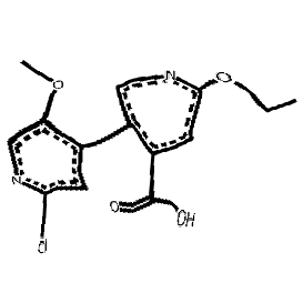 CCOc1cc(C(=O)O)c(-c2cc(Cl)ncc2OC)cn1